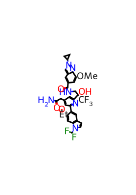 CCOc1c(CC(N)=O)cc([C@@](O)(CNC(=O)c2cc(OC)c3nn(C4CC4)cc3c2)C(F)(F)F)nc1-c1ccc2c(ccn2C(F)F)c1